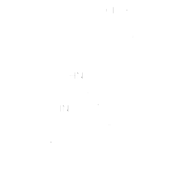 Cc1c(C=O)cccc1NC(=O)Nc1ccccc1C(F)(F)F